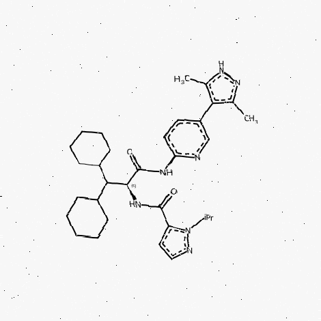 Cc1n[nH]c(C)c1-c1ccc(NC(=O)[C@@H](NC(=O)c2ccnn2C(C)C)C(C2CCCCC2)C2CCCCC2)nc1